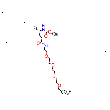 CC[C@@H](CCC(=O)NCCOCCOCCOCCOCC(=O)O)NC(=O)OC(C)(C)C